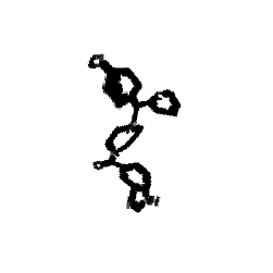 O=C(c1ccc2[nH]cnc2c1)N1CCN(C(c2ccccc2)c2ccc(Cl)cc2)CC1